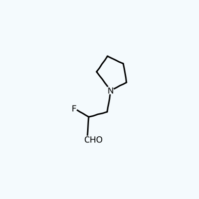 O=CC(F)CN1CCCC1